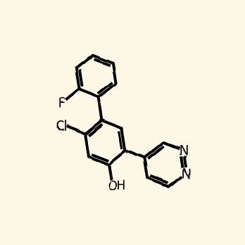 Oc1cc(Cl)c(-c2ccccc2F)cc1-c1ccnnc1